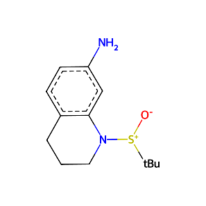 CC(C)(C)[S+]([O-])N1CCCc2ccc(N)cc21